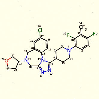 Fc1ccc(N2CCC(c3nnc4n3-c3ccc(Cl)cc3CN([C@@H]3CCOC3)C4)CC2)c(F)c1C(F)(F)F